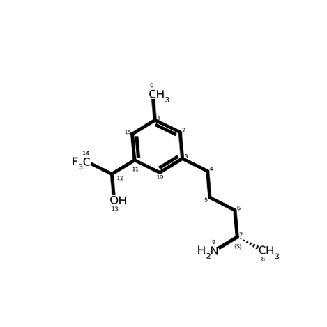 Cc1cc(CCC[C@H](C)N)cc(C(O)C(F)(F)F)c1